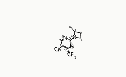 CC1CCN1c1ncc(Cl)c(C(F)(F)F)n1